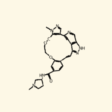 CN1CC[C@@H](NC(=O)c2ccc3c(c2)OCCOCc2c(cnn2C)-c2cc4c(n[nH]c4cn2)/C=C/3)C1